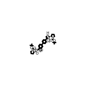 CC(C)(C)OC(=O)N1CCC[C@H]1C(=O)Nc1noc2cc(-c3ccc(C4=CNC([C@@H]5CCCN5C(=O)OC(C)(C)C)N4)cc3)ccc12